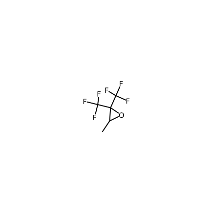 CC1OC1(C(F)(F)F)C(F)(F)F